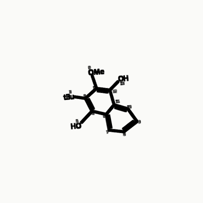 COc1c(C(C)(C)C)c(O)c2ccccc2c1O